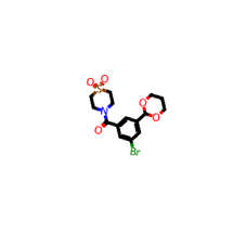 O=C(c1cc(Br)cc(C2OCCCO2)c1)N1CCS(=O)(=O)CC1